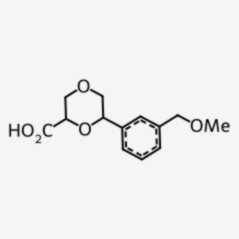 COCc1cccc(C2COCC(C(=O)O)O2)c1